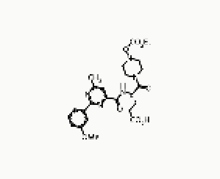 CCOC(=O)ON1CCN(C(=O)[C@H](CCC(=O)O)NC(=O)c2cc(C)nc(-c3cccc(OC)c3)n2)CC1